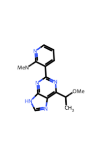 CNc1ncccc1-c1nc(C(C)OC)c2nc[nH]c2n1